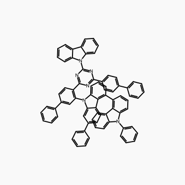 c1ccc(-c2ccc(-c3nc(-c4ccc(-c5ccccc5)cc4-n4c5cc(-c6ccccc6)ccc5c5c(-c6cccc7c6c6ccccc6n7-c6ccccc6)cccc54)nc(-n4c5ccccc5c5ccccc54)n3)cc2)cc1